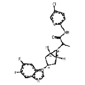 CC(C(=O)Nc1ccc(Cl)cn1)[C@H]1[C@@H]2C[C@@H](n3cnc4cc(F)c(F)cc43)C[C@@H]21